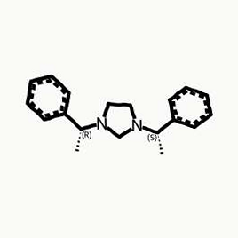 C[C@H](c1ccccc1)N1CCN([C@@H](C)c2ccccc2)C1